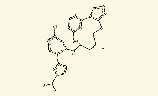 C[C@H](CCNc1cc(Cl)ncc1-c1ccn(C(F)F)n1)COc1c(-c2nccc(N)n2)cnn1C